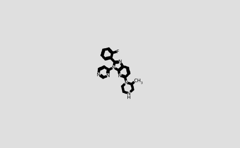 CC1CNCCN1c1ccc2nc(-c3ccccc3F)n(-c3ccncn3)c2n1